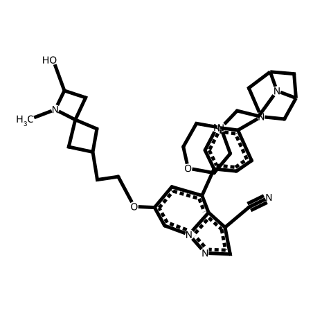 CN1C(O)CC12CC(CCOc1cc(-c3ccc(N4CC5CC(C4)N5CCN4CCOCC4)nc3)c3c(C#N)cnn3c1)C2